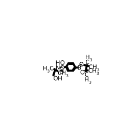 CC(C)(CO)NS(=O)(=O)c1ccc(B2OC(C)(C)C(C)(C)O2)cc1